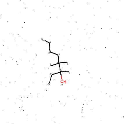 CCCCC(C)(C)C(C)(O)CC